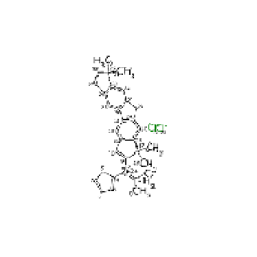 C[C](C)=[Zr+2]([C]1=CC=CC1)[C]1=Cc2cc3c(cc2C1(C)C)Cc1cc2c(cc1-3)C=CC2(C)C.[Cl-].[Cl-]